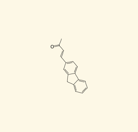 CC(=O)C=Cc1ccc2c(c1)Cc1ccccc1-2